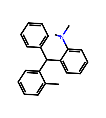 Cc1ccccc1C(c1ccccc1)c1ccccc1N(C)C